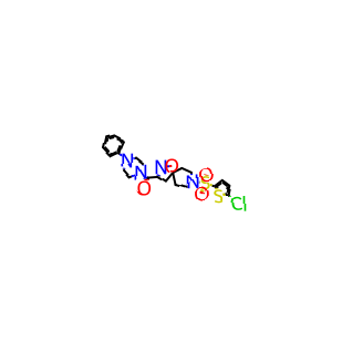 O=C(C1=NOC2(CCN(S(=O)(=O)c3ccc(Cl)s3)CC2)C1)N1CCN(c2ccccc2)CC1